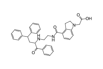 O=C(O)CN1CCc2c(C(=O)NCCNC(CC(c3ccccc3)c3ccccc3)C(=O)c3ccccc3)cccc21